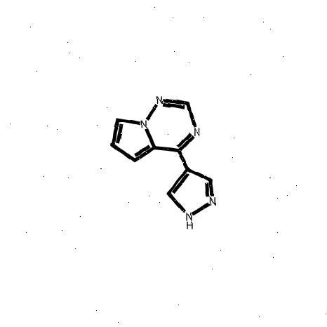 c1cc2c(-c3cn[nH]c3)ncnn2c1